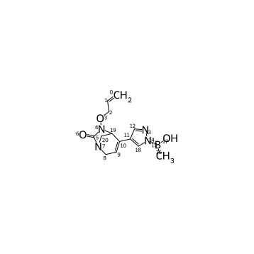 C=CCON1C(=O)N2CC=C(c3cnn(B(C)O)c3)C1C2